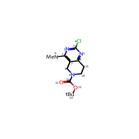 CNc1nc(Cl)nc2c1CN(C(=O)OC(C)(C)C)CC2